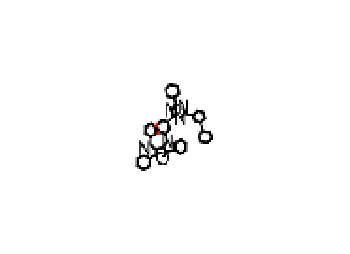 c1ccc(-c2cccc(-c3nc(-c4ccccc4)nc(-c4cccc(-n5c6ccccc6c6oc7c8ccccc8nc(-c8ccccc8)c7c65)c4)n3)c2)cc1